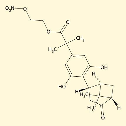 CC(C)(C(=O)OCCO[N+](=O)[O-])c1cc(O)c([C@H]2CC(=O)[C@H]3C[C@H]2C3(C)C)c(O)c1